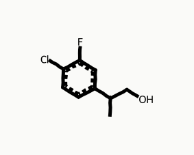 C[C](CO)c1ccc(Cl)c(F)c1